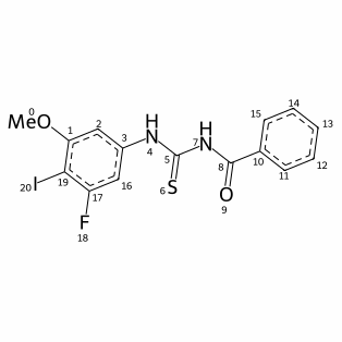 COc1cc(NC(=S)NC(=O)c2ccccc2)cc(F)c1I